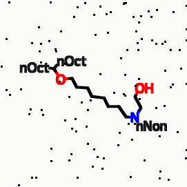 CCCCCCCCCN(CCO)CCCCCCCCOC(CCCCCCCC)CCCCCCCC